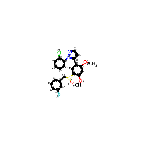 COc1cc(OC)c([S+]([O-])Cc2cccc(F)c2)cc1-c1ccnn1-c1ccccc1Cl